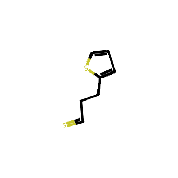 S=[C]CCc1cccs1